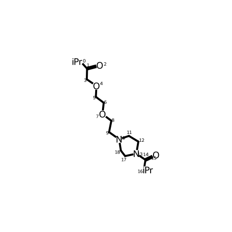 CC(C)C(=O)COCCOCCN1CCN(C(=O)C(C)C)CC1